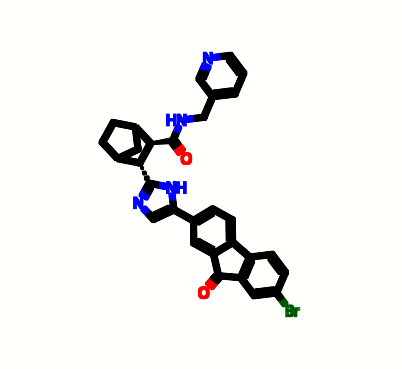 O=C1c2cc(Br)ccc2-c2ccc(-c3cnc([C@@H]4C5CCC(C5)[C@H]4C(=O)NCc4cccnc4)[nH]3)cc21